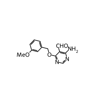 COc1cccc(COc2ncnc(N)c2C=O)c1